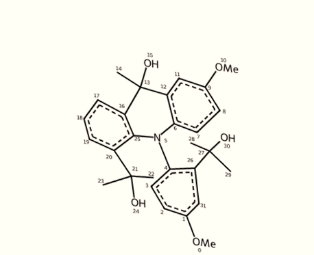 COc1ccc(N2c3ccc(OC)cc3C(C)(O)c3cccc(C(C)(C)O)c32)c(C(C)(C)O)c1